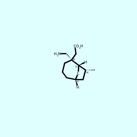 C[C@@H]1C[C@@H]2CCC[C@@](CN)(CC(=O)O)[C@H]1C2